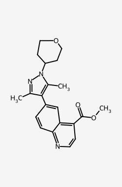 COC(=O)c1ccnc2ccc(-c3c(C)nn(C4CCOCC4)c3C)cc12